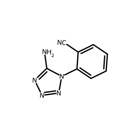 N#Cc1ccccc1-n1nnnc1N